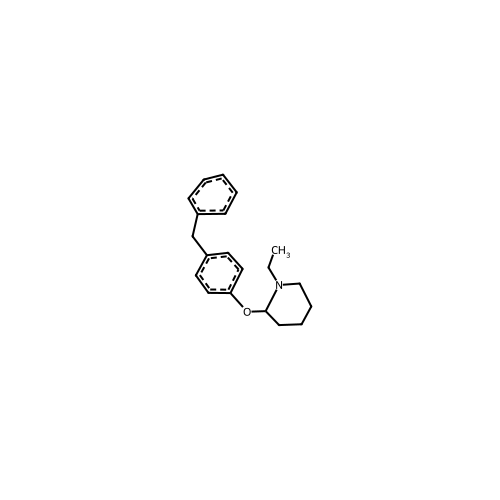 CCN1CCCCC1Oc1ccc(Cc2ccccc2)cc1